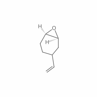 C=CC1CC[C@H]2O[C@H]2C1